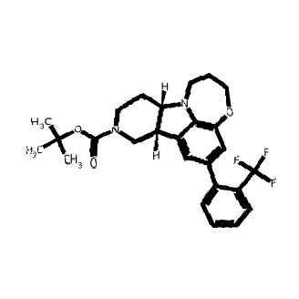 CC(C)(C)OC(=O)N1CC[C@H]2[C@@H](C1)c1cc(-c3ccccc3C(F)(F)F)cc3c1N2CCCO3